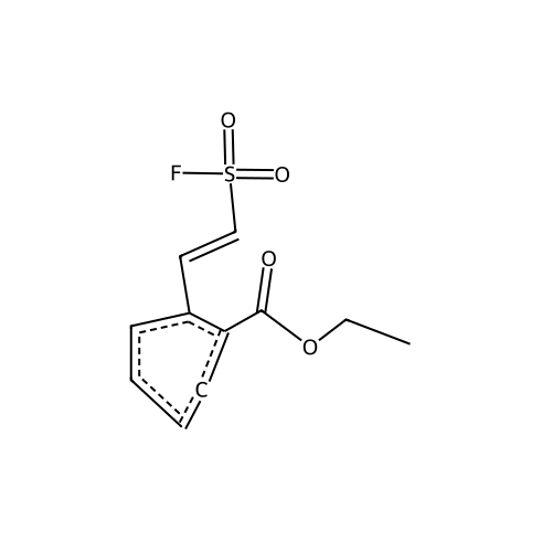 CCOC(=O)c1ccccc1C=CS(=O)(=O)F